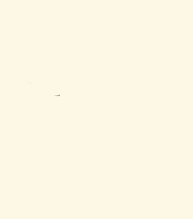 O=C(O[C@@H]1CNCC[C@H]1c1ccccc1)c1ccc(-c2ccc(Cl)cc2)cc1